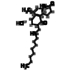 CCCCCCCCNCC1CCc2c(C)cc3c(c2C1=O)CCC(=O)N3.Cl